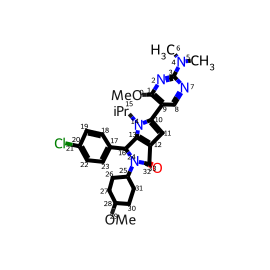 COc1nc(N(C)C)ncc1-c1cc2c(n1C(C)C)C(c1ccc(Cl)cc1)N(C1CCC(OC)CC1)C2=O